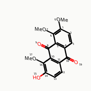 COc1ccc2c(c1OC)C(=O)c1c(ccc(O)c1OC)C2=O